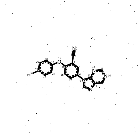 N#Cc1cc(-n2cnc3cncnc32)ccc1Oc1ccc(F)cc1